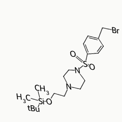 CC(C)(C)[Si](C)(C)OCCN1CCN(S(=O)(=O)c2ccc(CBr)cc2)CC1